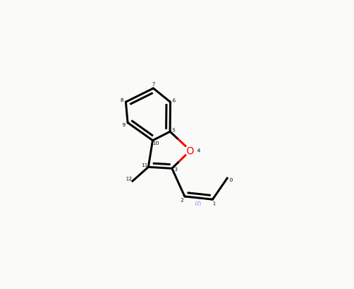 C/C=C\c1oc2ccccc2c1C